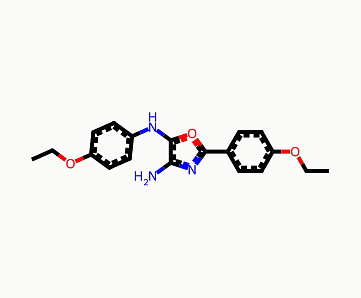 CCOc1ccc(Nc2oc(-c3ccc(OCC)cc3)nc2N)cc1